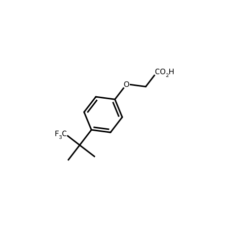 CC(C)(c1ccc(OCC(=O)O)cc1)C(F)(F)F